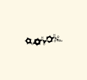 CC(C)(C)S(=O)(=O)NC1CCN(C(=O)Nc2ccc(OC3CCCC3)cc2)CC1